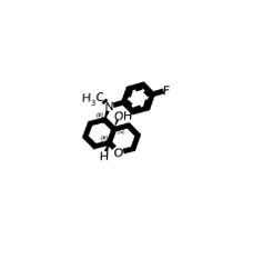 CN(c1ccc(F)cc1)[C@@H]1CCC[C@H]2OCCC[C@@]21O